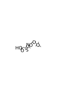 Cc1cc(C)c(-c2cccc(COc3ncc4c(c3C)SCC4CC(=O)O)c2)c(C)c1